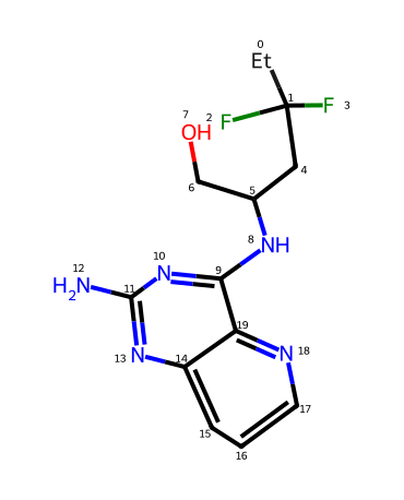 CCC(F)(F)CC(CO)Nc1nc(N)nc2cccnc12